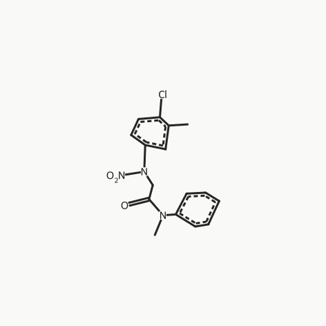 Cc1cc(N(CC(=O)N(C)c2ccccc2)[N+](=O)[O-])ccc1Cl